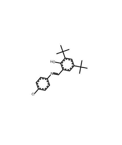 CC(C)(C)c1cc(/C=N/c2ccc(Cl)cc2)c(O)c(C(C)(C)C)c1